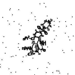 CCCOc1ccc(S(=O)(=O)N2CCN(C)CC2)cc1C1NC(=O)C2=C1CN(CCC)C(Cl)N2C